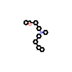 c1ccc(N(c2ccc(-c3cccc(-c4ccc5ccccc5c4)c3)cc2)c2ccc(-c3cccc(-c4cc5ccccc5o4)c3)cc2)cc1